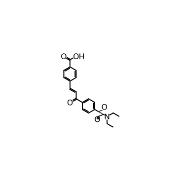 CCN(CC)S(=O)(=O)c1ccc(C(=O)C=Cc2ccc(C(=O)O)cc2)cc1